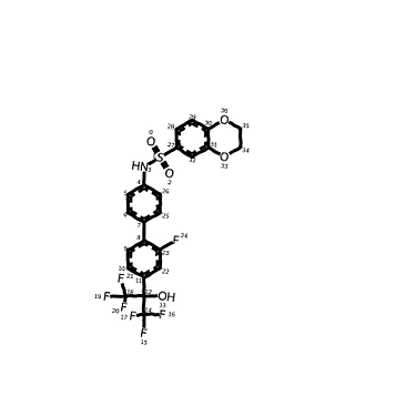 O=S(=O)(Nc1ccc(-c2ccc(C(O)(C(F)(F)F)C(F)(F)F)cc2F)cc1)c1ccc2c(c1)OCCO2